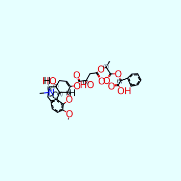 COc1ccc2c3c1O[C@@H]1C(OC(=O)[C@@H](O)CC(=O)O[C@@H](C)C(=O)O[C@H](C(=O)O)c4ccccc4)=CC[C@]4(O)[C@H](C2)N(C)CC[C@@]314